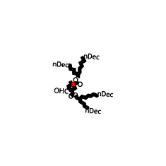 CCCCCCCCCCCCCCCCC(CCCCCCCCCCCCCC)COC(=O)c1cc(C(=O)OCC(CCCCCCCCCCCCCC)CCCCCCCCCCCCCCCC)c(C=O)cc1C